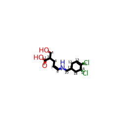 O=C(O)C(CO)C/C=C\NCC1CC=C(Cl)C(Cl)C1